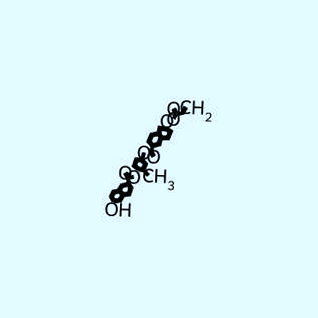 C=CC(=O)OOc1ccc2cc(C(=O)Oc3ccc(OC(=O)c4ccc5cc(O)ccc5c4)c(C)c3)ccc2c1